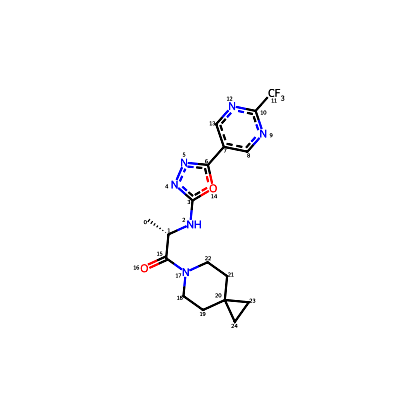 C[C@H](Nc1nnc(-c2cnc(C(F)(F)F)nc2)o1)C(=O)N1CCC2(CC1)CC2